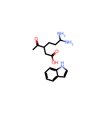 CC(=O)C(CCC(N)N)CC(=O)O.c1ccc2[nH]ccc2c1